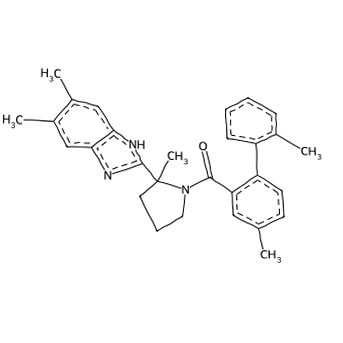 Cc1ccc(-c2ccccc2C)c(C(=O)N2CCCC2(C)c2nc3cc(C)c(C)cc3[nH]2)c1